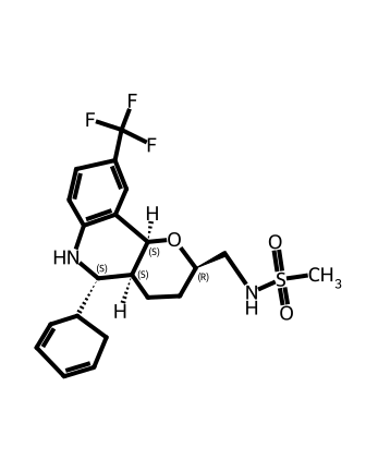 CS(=O)(=O)NC[C@H]1CC[C@@H]2[C@H](O1)c1cc(C(F)(F)F)ccc1N[C@H]2C1C=CC=CC1